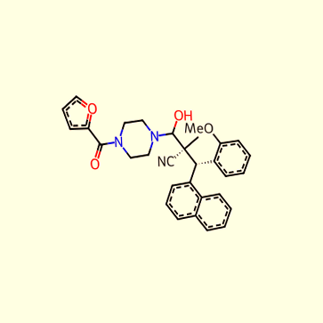 COc1ccccc1[C@H](c1cccc2ccccc12)[C@@](C)(C#N)C(O)N1CCN(C(=O)c2ccco2)CC1